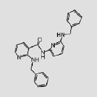 O=C(Nc1cccc(NCc2ccccc2)n1)c1cccnc1NCc1ccccc1